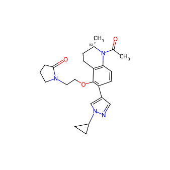 CC(=O)N1c2ccc(-c3cnn(C4CC4)c3)c(OCCN3CCCC3=O)c2CC[C@@H]1C